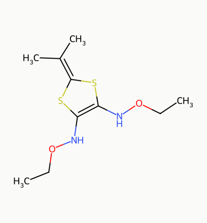 CCONC1=C(NOCC)SC(=C(C)C)S1